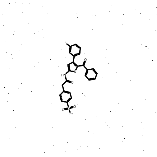 CCS(=O)(=O)c1ccc(CC(=O)Nc2cc(-c3cccc(F)c3)c(C(=O)c3ccccc3)s2)cc1